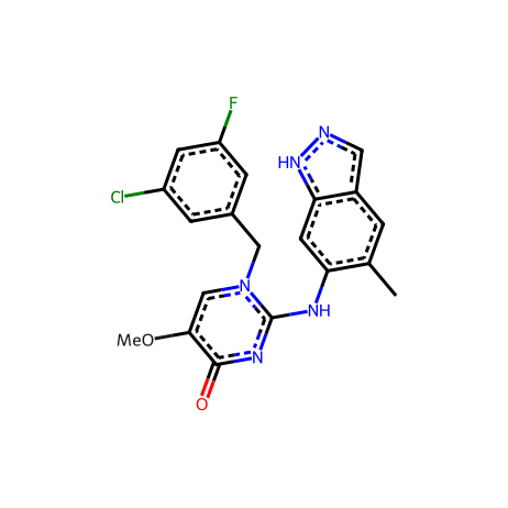 COc1cn(Cc2cc(F)cc(Cl)c2)c(Nc2cc3[nH]ncc3cc2C)nc1=O